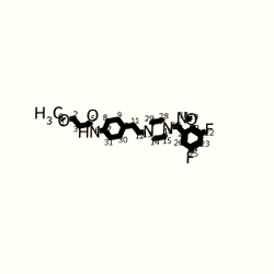 COCCC(=O)NC1CCC(CCN2CCN(c3noc4c(F)cc(F)cc34)CC2)CC1